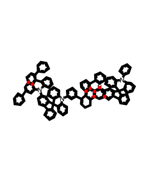 C1=C(c2cccc(N3c4ccccc4C4(c5ccccc5-c5ccc(N(c6cccc(-c7ccccc7)c6)c6ccccc6-c6ccccc6-c6ccccc6)cc54)c4ccccc43)c2)c2ccc(N(c3ccc4c(c3)C3(c5ccccc5-4)c4ccccc4N(c4ccccc4)c4ccccc43)c3ccccc3-c3ccccc3-c3ccccc3)cc2CC1